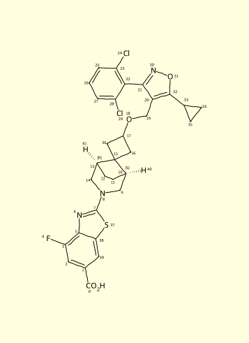 O=C(O)c1cc(F)c2nc(N3C[C@H]4CC[C@@H](C3)C43CC(OCc4c(-c5c(Cl)cccc5Cl)noc4C4CC4)C3)sc2c1